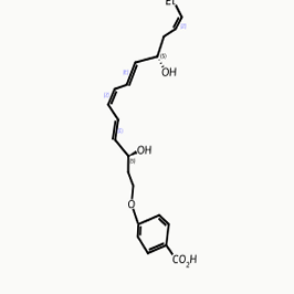 CC/C=C\C[C@H](O)/C=C/C=C\C=C\[C@@H](O)CCOc1ccc(C(=O)O)cc1